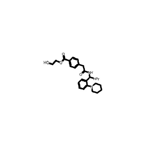 CCCC(NC(=O)Cc1ccc(C(=O)OCCO)cc1)c1ccccc1N1CCCCC1